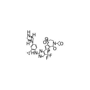 O=C1c2sc(-c3nc(Nc4ccc(N5C[C@H]6C[C@@H]5CN6)cc4C4CC4)ncc3C(F)(F)F)cc2S(=O)(=O)CCN1C1COC1